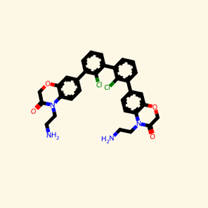 NCCN1C(=O)COc2cc(-c3cccc(-c4cccc(-c5ccc6c(c5)OCC(=O)N6CCN)c4Cl)c3Cl)ccc21